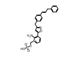 Nc1c(-c2cc(Cc3ccc(C=CCc4ccccc4)cc3)no2)ccc[n+]1COP(=O)([O-])O